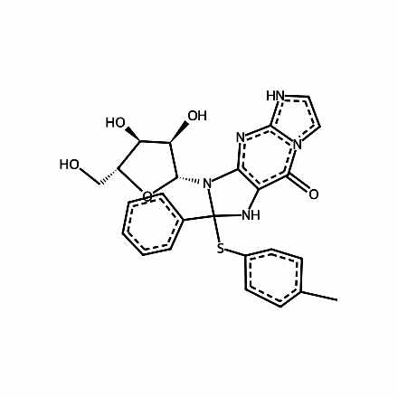 Cc1ccc(SC2(c3ccccc3)Nc3c(nc4[nH]ccn4c3=O)N2[C@@H]2O[C@H](CO)[C@@H](O)[C@H]2O)cc1